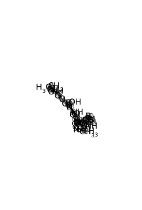 CCOc1ncccc1-c1cc(N2C(OCC)CNCC2(CC)C(=O)c2cccnc2C(F)(F)F)cc(Cc2cc(S(=O)(=O)NCCCN(CCOCCOCCOCCNC(=O)OC(C)(C)C)CC(=O)O)ccc2[N+](=O)[O-])n1